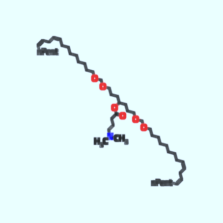 CCCCC/C=C\C/C=C\CCCCCCCCOCOCCCC(CCCOCOCCCCCCCC/C=C\C/C=C\CCCCC)OC(=O)CCCN(C)C